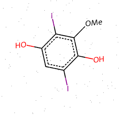 COc1c(O)c(I)cc(O)c1I